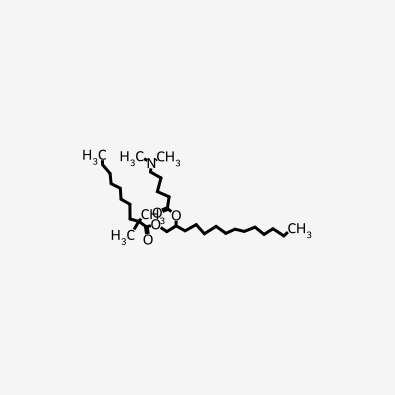 CCCCCCCCCCCCC(COC(=O)C(C)(C)CCCCCCCC)OC(=O)CCCCN(C)C